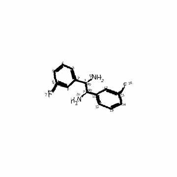 N[C@H](c1cccc(F)c1)[C@H](N)c1cccc(F)c1